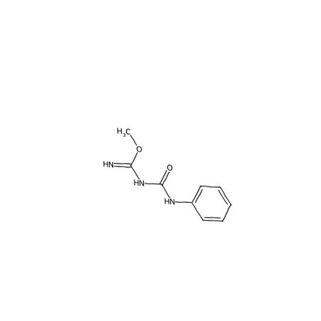 COC(=N)NC(=O)Nc1ccccc1